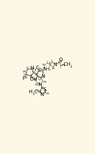 C=CC(=O)N1CC2(CCN(c3nc4c(c(-c5cccc(F)c5O)c3C)CCN(c3scnc3C)C4)C2)C1